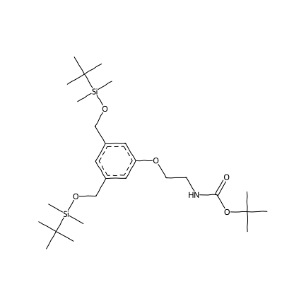 CC(C)(C)OC(=O)NCCOc1cc(CO[Si](C)(C)C(C)(C)C)cc(CO[Si](C)(C)C(C)(C)C)c1